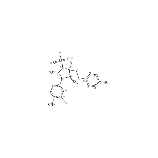 [C-]#[N+]c1ccc(N2C(=O)N(S(C)(=O)=O)C(C)(CCc3ccc(F)cc3)C2=O)cc1C